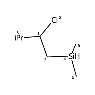 CC(C)C(Cl)C[SiH](C)C